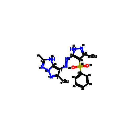 Cc1nn2nc(C(C)(C)C)c(N=Nc3[nH]nc(C(C)(C)C)c3S(=O)(=O)c3ccccc3)c2[nH]1